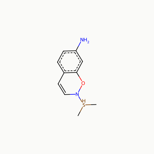 C[SH](C)N1C=Cc2ccc(N)cc2O1